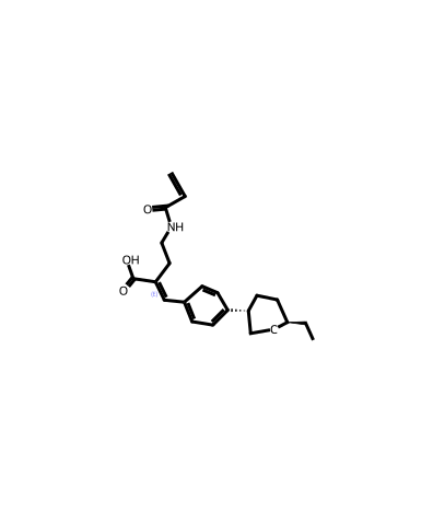 C=CC(=O)NCC/C(=C\c1ccc([C@H]2CC[C@H](CC)CC2)cc1)C(=O)O